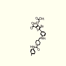 Cc1ccc(NC(=O)N2CCC(CNc3cccc(-c4sc(C(=O)O)c(OCC(=O)O)c4Br)c3)CC2)cc1